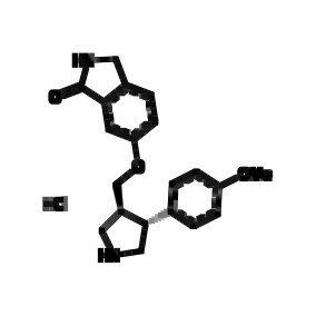 COc1ccc([C@@H]2CNC[C@H]2COc2ccc3c(c2)C(=O)NC3)cc1.Cl